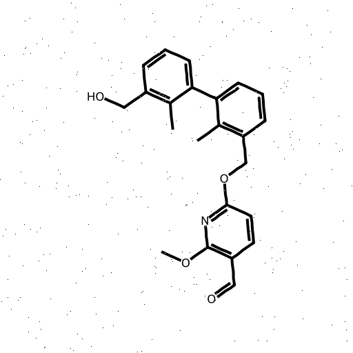 COc1nc(OCc2cccc(-c3cccc(CO)c3C)c2C)ccc1C=O